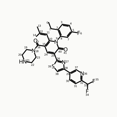 CCc1ccc(F)cc1-n1c(C=C(C)C)c(C(=O)N2CCNCC2)cc(-c2nc(-c3ccc(C(F)F)nc3)cs2)c1=O